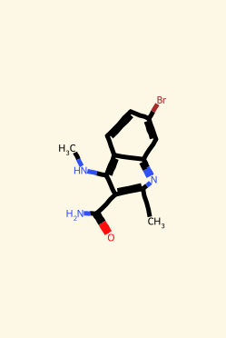 CNc1c(C(N)=O)c(C)nc2cc(Br)ccc12